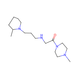 CC1CCCCN1CCCNCC(=O)N1CCN(C)CC1